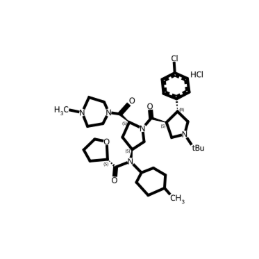 CC1CCC(N(C(=O)[C@@H]2CCCO2)[C@H]2C[C@@H](C(=O)N3CCN(C)CC3)N(C(=O)[C@@H]3CN(C(C)(C)C)C[C@H]3c3ccc(Cl)cc3)C2)CC1.Cl